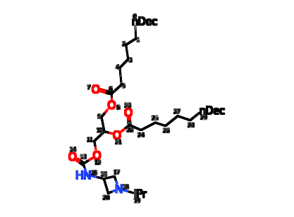 CCCCCCCCCCCCCCCC(=O)OCC(COC(=O)NC1CN(C(C)C)C1)OC(=O)CCCCCCCCCCCCCCC